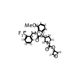 COc1cccc2c1n(Cc1ccccc1C(F)(F)F)c(=O)n2C1CCN(C(=O)OC2COC2)C1